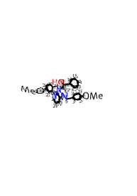 COc1ccc(CN2C[C@@H]([C@@H](O)c3ccccc3)N(Cc3ccc(OC)cc3)c3ncccc32)cc1